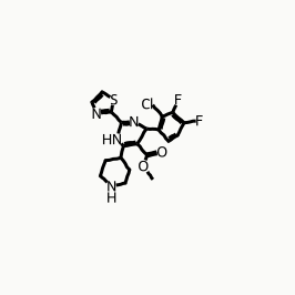 COC(=O)C1=C(C2CCNCC2)NC(c2nccs2)=NC1c1ccc(F)c(F)c1Cl